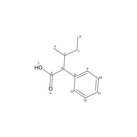 CCC(C)C(C(=O)O)c1ccccc1